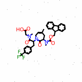 CC1=CCN(C(Cc2ccc(C(F)(F)F)cc2)C(=O)N(C)CC(=O)O)C(=O)C(N(C)C(=O)OCC2c3ccccc3-c3ccccc32)C1